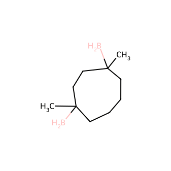 BC1(C)CCCCC(B)(C)CC1